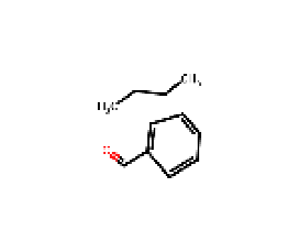 CCCC.O=Cc1ccccc1